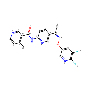 CCC(=NOc1cnc(F)c(F)c1)c1ccc(NC(=O)c2cnccc2C)nc1